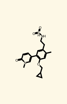 Cc1cc(OCC2CC2)c(-c2ccc(=O)n(C)c2)cc1CCN[SH](=O)=O